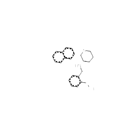 COc1ccccc1CN[C@H]1CCCN[C@H]1c1ccc2ccccc2c1